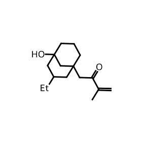 C=C(C)C(=O)CC12CCCC(O)(CC(CC)C1)C2